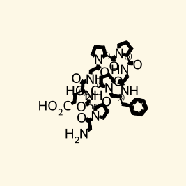 NCC(=O)N1CCC[C@H]1C(=O)N[C@@H](CCC(=O)O)C(=O)NCC(=O)N1CCC[C@H]1C(=O)N1CCC[C@H]1C(=O)NCC(=O)N[C@@H](Cc1ccccc1)C(=O)N1CCC[C@H]1C(=O)O